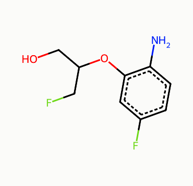 Nc1ccc(F)cc1OC(CO)CF